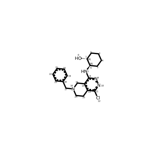 O[C@@H]1CCCC[C@H]1Nc1nnc(Cl)c2c1CN(Cc1ccccc1)CC2